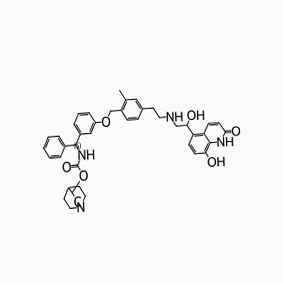 Cc1cc(CCNCC(O)c2ccc(O)c3[nH]c(=O)ccc23)ccc1COc1cccc([C@@H](NC(=O)OC2CN3CCC2CC3)c2ccccc2)c1